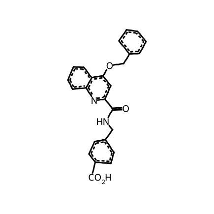 O=C(O)c1ccc(CNC(=O)c2cc(OCc3ccccc3)c3ccccc3n2)cc1